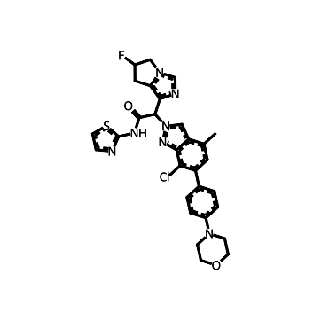 Cc1cc(-c2ccc(N3CCOCC3)cc2)c(Cl)c2nn(C(C(=O)Nc3nccs3)c3ncn4c3CC(F)C4)cc12